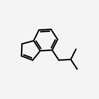 CC(C)Cc1cccc2c1C=CC2